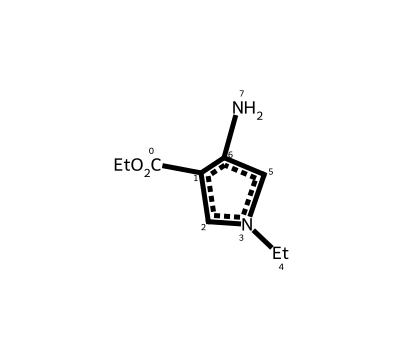 CCOC(=O)c1cn(CC)cc1N